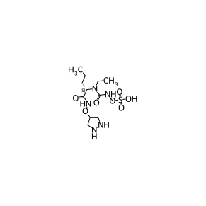 CCC[C@@H](C(=O)NOC1CNNC1)N(CC)C(=O)NOS(=O)(=O)O